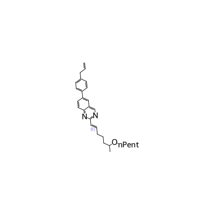 C=CCc1ccc(-c2ccc3nc(/C=C/CCCC(C)OCCCCC)ncc3c2)cc1